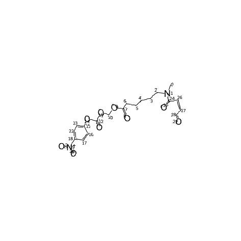 CN(CCCCCC(=O)OCOC(=O)Oc1ccc([N+](=O)[O-])cc1)C(=O)/C=C\C=O